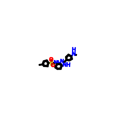 CNc1ccc(-c2nc3c(NS(=O)(=O)c4ccc(C)cc4)cccc3[nH]2)cc1